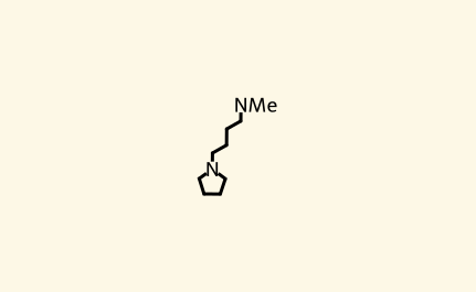 CNCCCCN1CCCC1